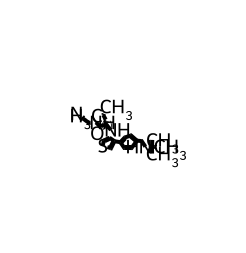 CC(C)C[C@H](Nc1cscc1-c1ccc(CNC(C)(C)C)cc1)C(=O)NCC#N